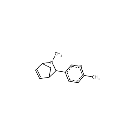 Cc1ccc(C2C3C=CC(C3)N2C)cn1